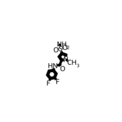 Cn1cc(S(N)(=O)=O)cc1C(=O)Nc1ccc(F)c(F)c1